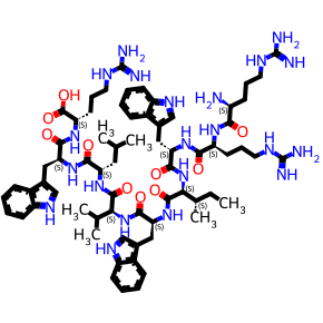 CC[C@H](C)[C@H](NC(=O)[C@H](Cc1c[nH]c2ccccc12)NC(=O)[C@H](CCCNC(=N)N)NC(=O)[C@@H](N)CCCNC(=N)N)C(=O)N[C@@H](Cc1c[nH]c2ccccc12)C(=O)N[C@H](C(=O)N[C@@H](CC(C)C)C(=O)N[C@@H](Cc1c[nH]c2ccccc12)C(=O)N[C@@H](CCCNC(=N)N)C(=O)O)C(C)C